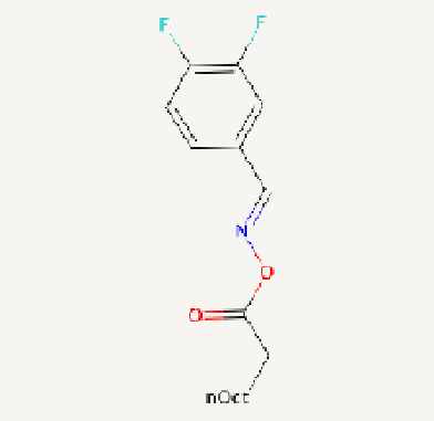 CCCCCCCCCC(=O)O/N=C/c1ccc(F)c(F)c1